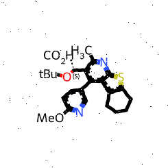 COc1ccc(-c2c([C@H](OC(C)(C)C)C(=O)O)c(C)nc3sc4c(c23)CCCC4)cn1